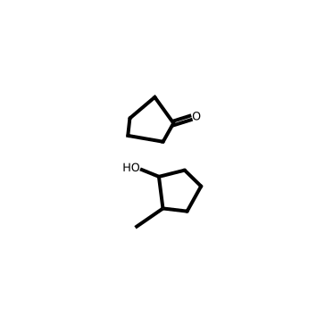 CC1CCCC1O.O=C1CCCC1